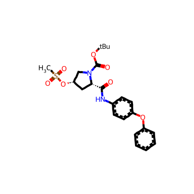 CC(C)(C)OC(=O)N1C[C@@H](OS(C)(=O)=O)C[C@H]1C(=O)Nc1ccc(Oc2ccccc2)cc1